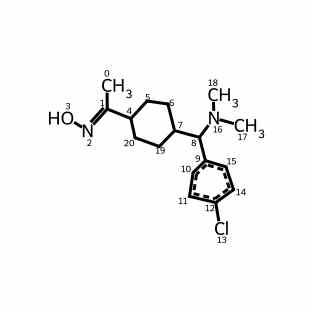 CC(=NO)C1CCC(C(c2ccc(Cl)cc2)N(C)C)CC1